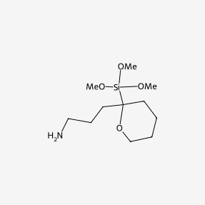 CO[Si](OC)(OC)C1(CCCN)CCCCO1